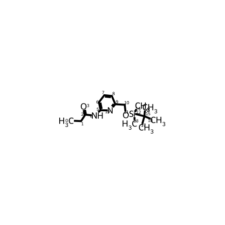 CCC(=O)Nc1cccc(CO[Si](C)(C)C(C)(C)C)n1